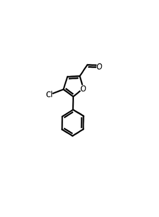 O=Cc1cc(Cl)c(-c2ccccc2)o1